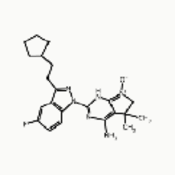 CC1(C)C[N+]([O-])=C2NC(n3nc(CCC4CCCC4)c4cc(F)ccc43)=NC(N)=C21